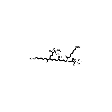 CCCCCCCCCCCCCCCC(=O)N(CCCC(O)CCCN(CCC(Cl)[N+](C)(C)C)C(=O)CCCCCCCCCCCCCCC)CCC(Cl)[N+](C)(C)C